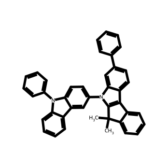 CC1(C)c2ccccc2-c2c1n(-c1ccc3c(c1)c1ccccc1n3-c1ccccc1)c1cc(-c3ccccc3)ccc21